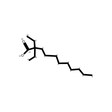 CCCCCCCCCC(CC)(CC)C([O])=O